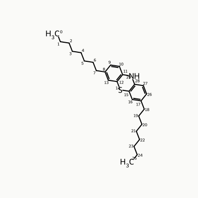 CCCCCCCCc1ccc2c(c1)Sc1cc(CCCCCCCC)ccc1N2